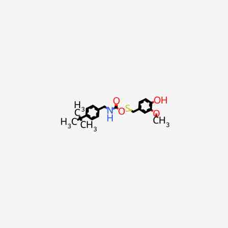 COc1cc(CSOC(=O)NCc2ccc(C(C)(C)C)cc2)ccc1O